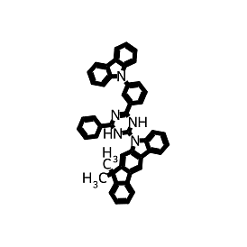 CC1(C)c2ccccc2-c2cc3c4ccccc4n(C4NC(c5cccc(-n6c7ccccc7c7ccccc76)c5)=NC(C5C=CC=CC5)N4)c3cc21